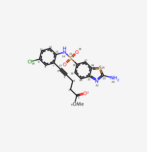 COC(=O)CCC#Cc1cc(Cl)ccc1NS(=O)(=O)c1ccc2nc(N)sc2c1